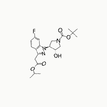 CC(C)OC(=O)Cc1nn([C@H]2CN(C(=O)OC(C)(C)C)C[C@@H]2O)c2cc(F)ccc12